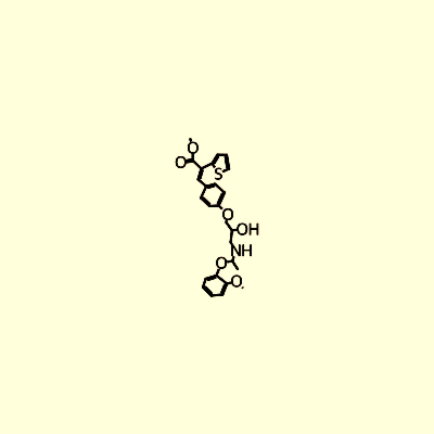 COC(=O)C(=Cc1ccc(OCC(O)CNC(C)Oc2ccccc2OC)cc1)c1cccs1